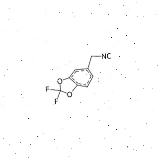 [C-]#[N+]Cc1ccc2c(c1)OC(F)(F)O2